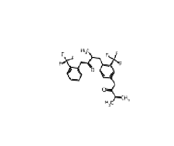 CC(C)C(=O)Cc1ccc(CC(C)C(=O)Cc2ccccc2C(F)(F)F)c(C(F)(F)F)c1